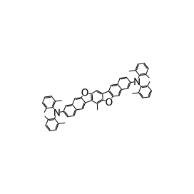 Cc1cccc(C)c1N(c1ccc2cc3c(cc2c1)oc1c(C)c2c(cc13)oc1cc3cc(N(c4c(C)cccc4C)c4c(C)cccc4C)ccc3cc12)c1c(C)cccc1C